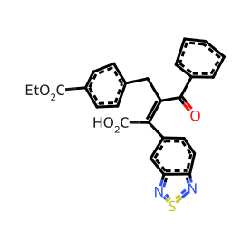 CCOC(=O)c1ccc(C/C(C(=O)c2ccccc2)=C(\C(=O)O)c2ccc3nsnc3c2)cc1